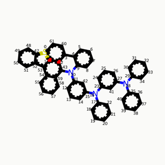 c1ccc(-c2ccccc2N(c2cccc(N(c3ccccc3)c3cccc(N(c4ccccc4)c4ccccc4)c3)c2)c2cc3sc4ccccc4c3c3ccccc23)cc1